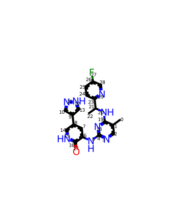 Cc1cnc(Nc2cc(-c3cn[nH]c3)c[nH]c2=O)nc1NC(C)c1ccc(F)cn1